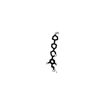 CCCC1CCC(C2CCC(C3CCC(c4cc(F)c(/C=C/C(F)(F)F)c(F)c4)OC3)CC2)CC1